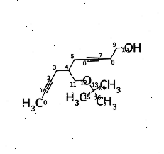 CC#CCC(CC#CCCO)COC(C)(C)C